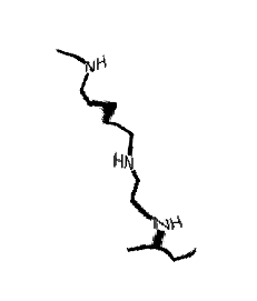 CCC(C)NCCNCCCCNC